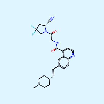 C[C@H]1CC[C@H](/C=C/c2ccc3nccc(C(=O)NCC(=O)N4CC(F)(F)C[C@H]4C#N)c3c2)CC1